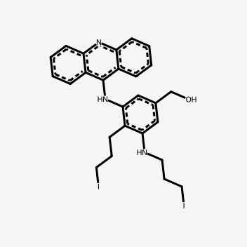 OCc1cc(NCCCI)c(CCCI)c(Nc2c3ccccc3nc3ccccc23)c1